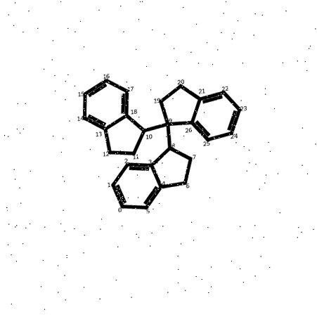 c1ccc2c(c1)CCC2C1(C2CCc3ccccc32)CCc2ccccc21